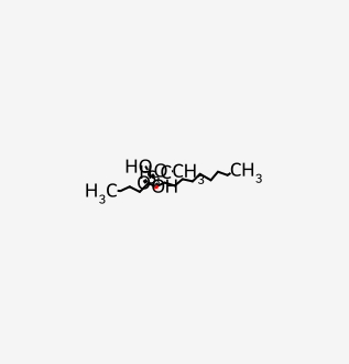 CC.CCCCCCCCCCCCCCC.O=S(=O)(O)O